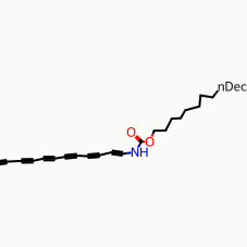 C#CC#CC#CC#CC#CC#CNC(=O)OCCCCCCCCCCCCCCCCCC